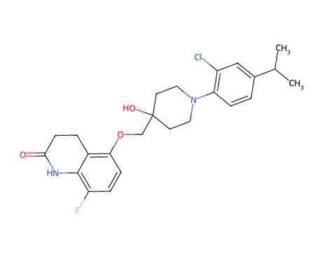 CC(C)c1ccc(N2CCC(O)(COc3ccc(F)c4c3CCC(=O)N4)CC2)c(Cl)c1